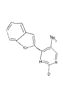 Nc1cnc(Cl)nc1-c1cc2ccccc2o1